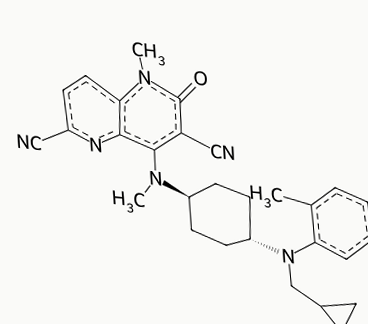 Cc1ccccc1N(CC1CC1)[C@H]1CC[C@H](N(C)c2c(C#N)c(=O)n(C)c3ccc(C#N)nc23)CC1